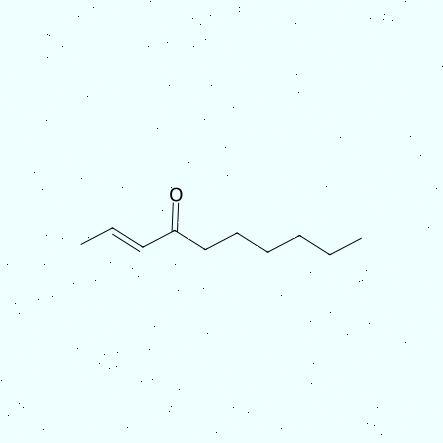 C/C=C/C(=O)CCCCCC